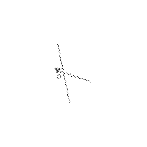 CCCCCCCCCCCCCCc1c(CCCCCCCCCCCCCC)c(S(=O)(=O)O)c2ccccc2c1CCCCCCCCCCCCCC